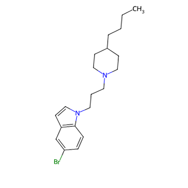 CCCCC1CCN(CCCn2ccc3cc(Br)ccc32)CC1